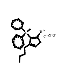 CCCCC1=CC[C]([Ti+3])=C1[Si](C)(c1ccccc1)c1ccccc1.[Cl-].[Cl-].[Cl-]